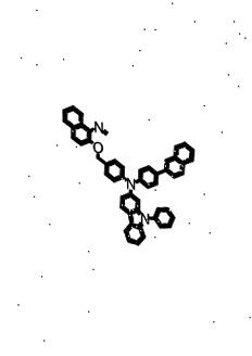 C=Nc1c(OCc2ccc(N(c3ccc(-c4ccc5ccccc5c4)cc3)c3ccc4c5ccccc5n(-c5ccccc5)c4c3)cc2)ccc2ccccc12